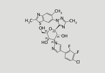 Cc1nc([C@@H]2O[C@H](CO)[C@H](O)[C@H](n3cc(-c4ccc(Cl)c(F)c4F)cn3)[C@H]2O)n(-c2cc3sc(C)nc3cc2C)n1